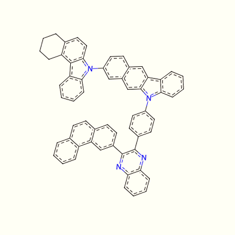 c1ccc2c(c1)ccc1ccc(-c3nc4ccccc4nc3-c3ccc(-n4c5ccccc5c5cc6ccc(-n7c8ccccc8c8c9c(ccc87)CCCC9)cc6cc54)cc3)cc12